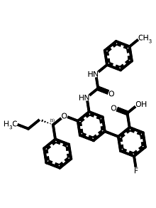 CCC[C@H](Oc1ccc(-c2cc(F)ccc2C(=O)O)cc1NC(=O)Nc1ccc(C)cc1)c1ccccc1